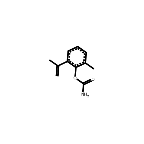 C=C(C)c1cccc(C)c1OC(N)=O